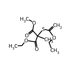 C=C(OCC)SC(C)(C(=O)OC)C(=O)OCC